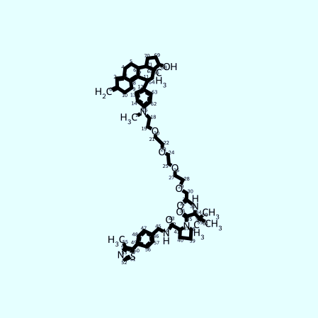 C=C1C=C2CCC3C(=C2CC1)C(c1ccc(N(C)CCOCCOCCOCCOCC(=O)NC(C(=O)N2CCCC2C(=O)NCc2ccc(-c4scnc4C)cc2)C(C)(C)C)cc1)CC1(C)C(O)CCC31